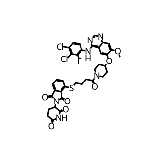 COc1cc2ncnc(Nc3ccc(Cl)c(Cl)c3F)c2cc1OC1CCN(C(=O)CCCSc2cccc3c2C(=O)N(C2CCC(=O)NC2=O)C3=O)CC1